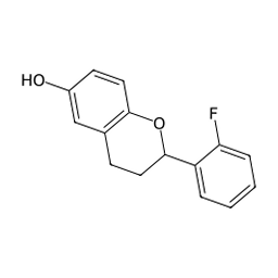 Oc1ccc2c(c1)CCC(c1ccccc1F)O2